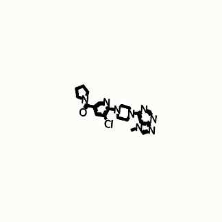 Cn1cnc2ncnc(N3CCN(c4ncc(C(=O)N5CCCC5)cc4Cl)CC3)c21